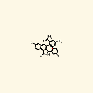 NC(=O)c1cc(C(F)(F)F)cc(F)c1-c1cc2cc(Cl)ccc2c2c1C(c1cc(F)ccc1Cl)NC2=O